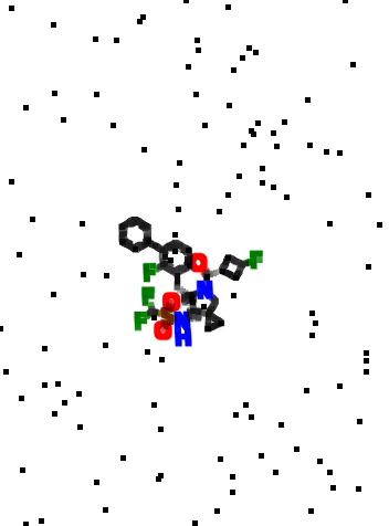 O=C([C@H]1C[C@H](F)C1)N1CC2(CC2)[C@H](NS(=O)(=O)C(F)F)[C@@H]1Cc1cccc(-c2ccccc2)c1F